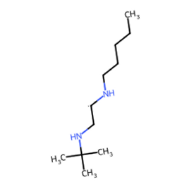 CCCCCN[CH]CNC(C)(C)C